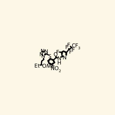 CCC(CCn1nnnc1Sc1ccc([N+](=O)[O-])cc1C(=O)Nc1ncc(C(F)(F)C(F)(F)C(F)(F)F)cc1F)OC